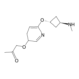 CN[C@H]1C[C@H](OC2=CCC(OCC(C)=O)C=N2)C1